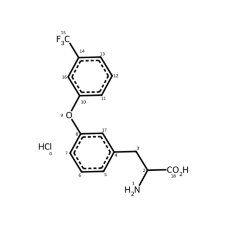 Cl.NC(Cc1cccc(Oc2cccc(C(F)(F)F)c2)c1)C(=O)O